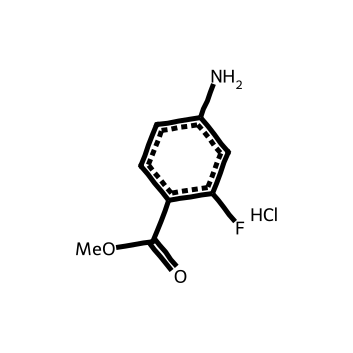 COC(=O)c1ccc(N)cc1F.Cl